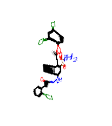 NS(=O)(=O)c1cc(NC(=O)Cc2ccccc2Cl)ccc1COc1ccc(Cl)cc1Cl